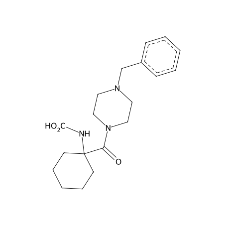 O=C(O)NC1(C(=O)N2CCN(Cc3ccccc3)CC2)CCCCC1